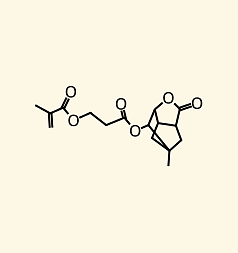 C=C(C)C(=O)OCCC(=O)OC1C2OC(=O)C3CC1(C)CC32